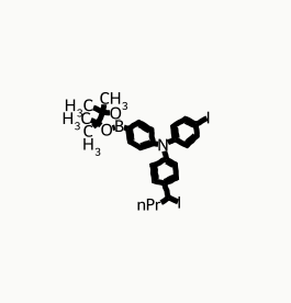 CCCC(I)c1ccc(N(c2ccc(I)cc2)c2ccc(B3OC(C)(C)C(C)(C)O3)cc2)cc1